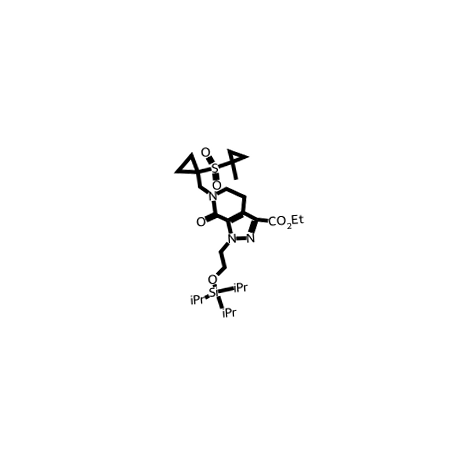 CCOC(=O)c1nn(CCO[Si](C(C)C)(C(C)C)C(C)C)c2c1CCN(CC1(S(=O)(=O)C3(C)CC3)CC1)C2=O